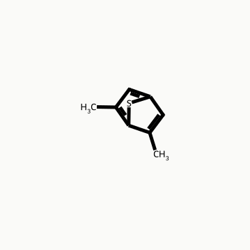 Cc1cc2cc(C)c1s2